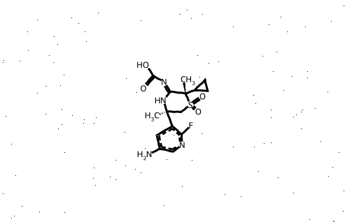 C[C@@]1(c2cc(N)cnc2F)CS(=O)(=O)[C@@](C)(C2CC2)/C(=N/C(=O)O)N1